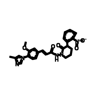 COc1cc(C=CC(=O)NN2CCCC(c3ccccc3[N+](=O)[O-])C2=O)ccc1-n1cnc(C)c1